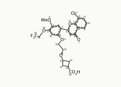 COc1cc(-c2cc(=O)c3cccc(Cl)c3o2)c(OCCOC2CC(C(=O)O)C2)cc1OCC(F)(F)F